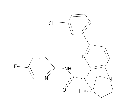 O=C(Nc1ccc(F)cn1)N1c2nc(-c3cccc(Cl)c3)ccc2N2CC[C@@H]1C2